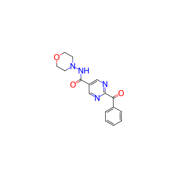 O=C(NN1CCOCC1)c1cnc(C(=O)c2ccccc2)nc1